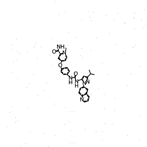 CC(C)c1cc(NC(=O)Nc2ccc(Oc3ccnc(C(N)=O)c3)cc2)n(-c2ccc3ncccc3c2)n1